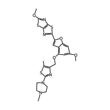 COc1cc(OCc2nc(N3CCN(C)CC3)sc2C)c2cc(-c3nc4sc(OC)nc4s3)oc2c1